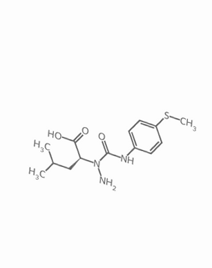 CSc1ccc(NC(=O)N(N)[C@@H](CC(C)C)C(=O)O)cc1